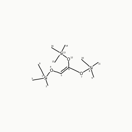 C[Si](C)(C)OC=C(O[Si](C)(C)C)O[Si](C)(C)C